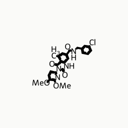 COc1ccc(-n2c(=O)[nH]c3cc(C(=O)NCc4cccc(Cl)c4)cc(C)c3c2=O)nc1OC